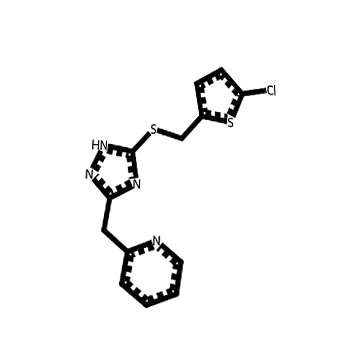 Clc1ccc(CSc2nc(Cc3ccccn3)n[nH]2)s1